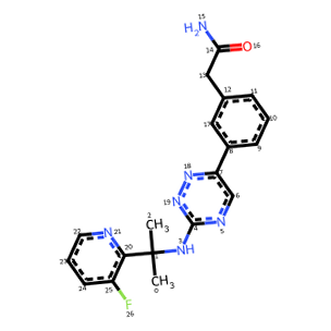 CC(C)(Nc1ncc(-c2cccc(CC(N)=O)c2)nn1)c1ncccc1F